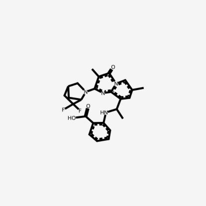 Cc1cc(C(C)Nc2ccccc2C(=O)O)c2nc(N3CC4CC3C(F)(F)C4)c(C)c(=O)n2c1